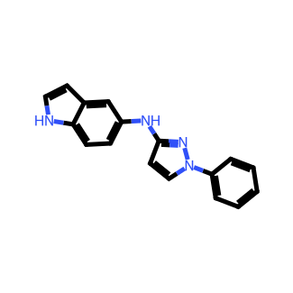 c1ccc(-n2ccc(Nc3ccc4[nH]ccc4c3)n2)cc1